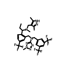 CCC(c1ccc(C(F)(F)F)cc1CN(Cc1cc(C(F)(F)F)cc(C(F)(F)F)c1)c1nnn(C)n1)N(C)Cc1c(C)n[nH]c1C